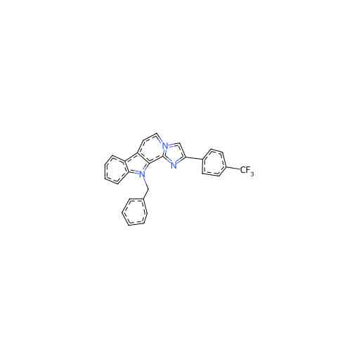 FC(F)(F)c1ccc(-c2cn3ccc4c5ccccc5n(Cc5ccccc5)c4c3n2)cc1